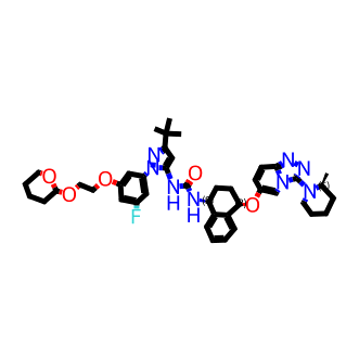 C[C@H]1CCCCN1c1nnc2ccc(O[C@@H]3CC[C@H](NC(=O)Nc4cc(C(C)(C)C)nn4-c4cc(F)cc(OCCOC5CCCCO5)c4)c4ccccc43)cn12